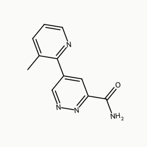 Cc1cccnc1-c1cnnc(C(N)=O)c1